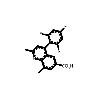 Cc1cc(-c2c(F)cc(F)cc2F)c2cc(C(=O)O)cc(C)c2n1